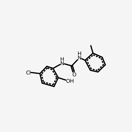 Cc1ccccc1NC(=O)Nc1cc(Cl)ccc1O